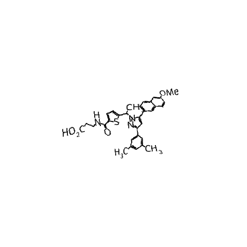 COc1ccc2cc(-c3cc(-c4cc(C)cc(C)c4)nn3C(C)c3ccc(C(=O)NCCC(=O)O)s3)ccc2c1